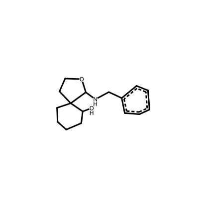 OC1CCCCC12CCOC2NCc1ccccc1